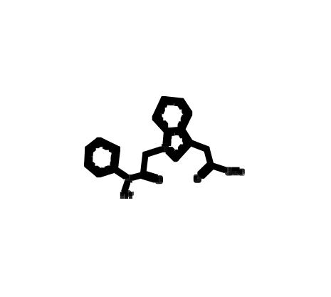 CCCN(C(=O)Cn1cc(CC(=O)OC)c2ccccc21)c1ccccc1